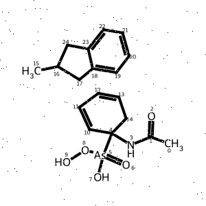 CC(=O)NC1([As](=O)(O)OO)C=CC=CC1.CC1Cc2ccccc2C1